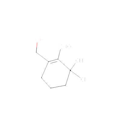 CC1(C)CCCC(CO)=C1C=O